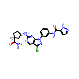 CNC(=O)[C@]1(C)CC[C@@H](Nc2ncc3c(Br)nn(-c4cccc(NC(=O)c5ccn[nH]5)c4)c3n2)C1